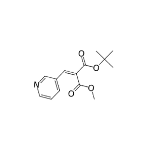 COC(=O)/C(=C\c1cccnc1)C(=O)OC(C)(C)C